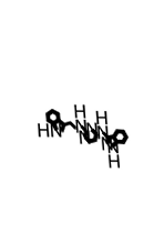 c1ccc2c(CCNc3nccc(Nc4n[nH]c5ccccc45)n3)c[nH]c2c1